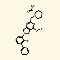 COc1nc(CN2CCCC[C@H]2C(=O)O)nc2c1CN(c1cccc(-c3ccccc3)c1Cl)C2